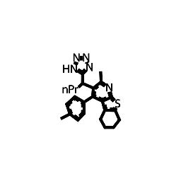 CCCC(c1nnn[nH]1)c1c(C)nc2sc3c(c2c1-c1ccc(C)cc1)CCCC3